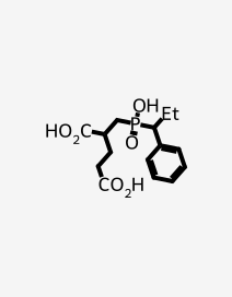 CCC(c1ccccc1)P(=O)(O)CC(CCC(=O)O)C(=O)O